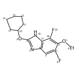 CCOc1c(F)cc2nc(OC3CCCCC3)[nH]c2c1F